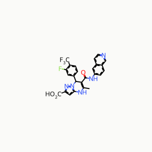 CC1=C(C(=O)Nc2ccc3cnccc3c2)C(c2ccc(C(F)(F)F)c(F)c2)n2nc(C(=O)O)cc2N1